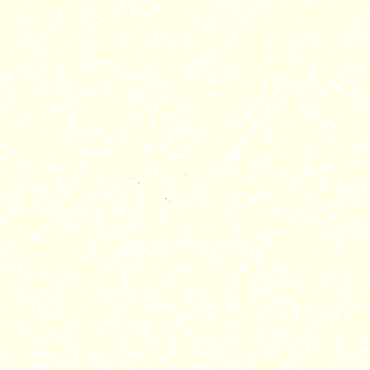 O=C(O)Oc1cnn(-c2nc3ccc(C4CC4)cc3c(=O)[nH]2)c1